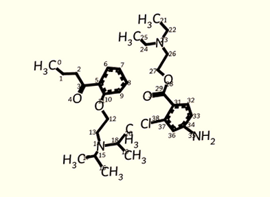 CCCC(=O)c1ccccc1OCCN(C(C)C)C(C)C.CCN(CC)CCOC(=O)c1ccc(N)cc1Cl